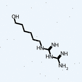 N=C(N)NC(=N)NCCCCCCO